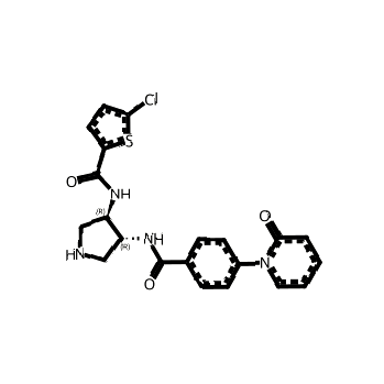 O=C(N[C@@H]1CNC[C@H]1NC(=O)c1ccc(Cl)s1)c1ccc(-n2ccccc2=O)cc1